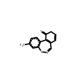 FC(F)(F)c1ccc2c(c1)SN=CC1=C2C(=S)CC=C1